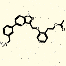 CC(=O)OCCc1ccccc1OCc1nsc2ccc(-c3cccc(CN)c3)cc12